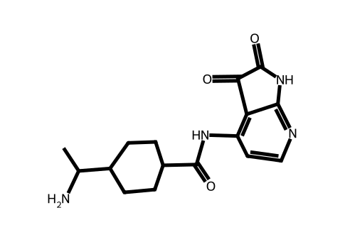 CC(N)C1CCC(C(=O)Nc2ccnc3c2C(=O)C(=O)N3)CC1